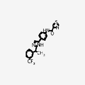 CC(c1cccc(C(F)(F)F)c1)c1ncc(-c2ccc(NC(=O)c3cscn3)cc2)[nH]1